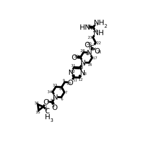 CC1(OC(=O)N2CCC(COc3cnc(N4CCN(S(=O)(=O)CCNC(=N)N)CC4=O)cn3)CC2)CC1